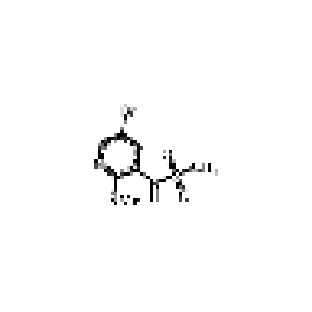 CNc1ncc(Br)cc1NS(C)(=O)=O